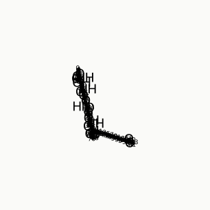 C=CCOC(=O)N[C@@H](CCCCNC(=O)COCCOCCNC(=O)COCCOCCNC(=O)CC[C@H](NC(=O)CCCCCCCCCCCCCCCCC(=O)OC(C)(C)C)C(=O)OC(C)(C)C)C(=O)O